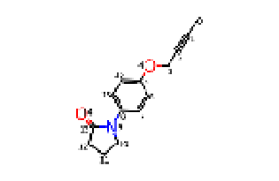 CC#CCOc1ccc(N2CCCC2=O)cc1